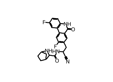 N#CC(Cc1cc2c(=O)[nH]c3ccc(F)cc3c2cc1F)NC(=O)C1NC2CCC1C2